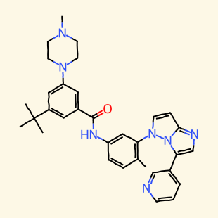 Cc1ccc(NC(=O)c2cc(N3CCN(C)CC3)cc(C(C)(C)C)c2)cc1-n1ccc2ncc(-c3cccnc3)n21